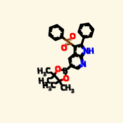 CC1(C)OB(c2cnc3[nH]c(-c4ccccc4)c(S(=O)(=O)c4ccccc4)c3c2)OC1(C)C